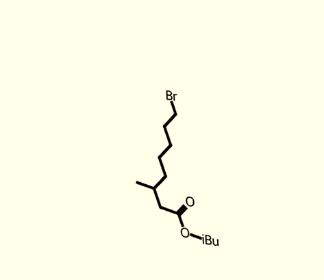 CCC(C)OC(=O)CC(C)CCCCCBr